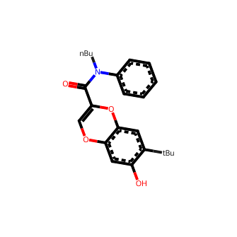 CCCCN(C(=O)C1=COc2cc(O)c(C(C)(C)C)cc2O1)c1ccccc1